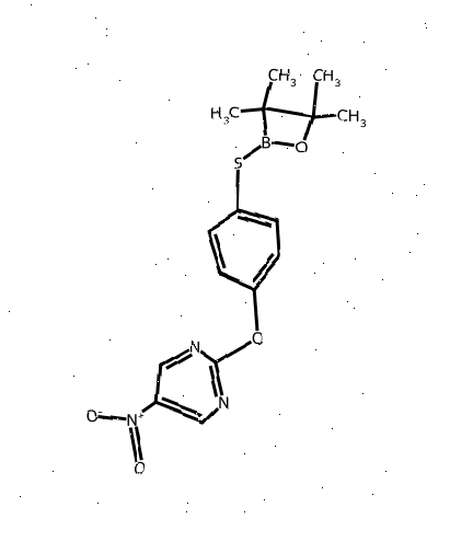 CC1(C)OB(Sc2ccc(Oc3ncc([N+](=O)[O-])cn3)cc2)C1(C)C